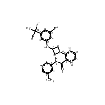 Cc1cncc(NC(=O)c2nccnc2N2CC(Oc3cc(F)cc(C(F)(F)F)c3)C2)c1